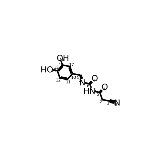 N#CCC(=O)NC(=O)N=Cc1ccc(O)c(O)c1